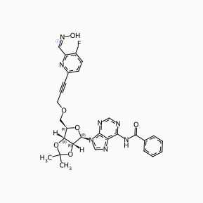 CC1(C)O[C@@H]2[C@H](O1)[C@@H](COCC#Cc1ccc(F)c(/C=N\O)n1)O[C@H]2n1cnc2c(NC(=O)c3ccccc3)ncnc21